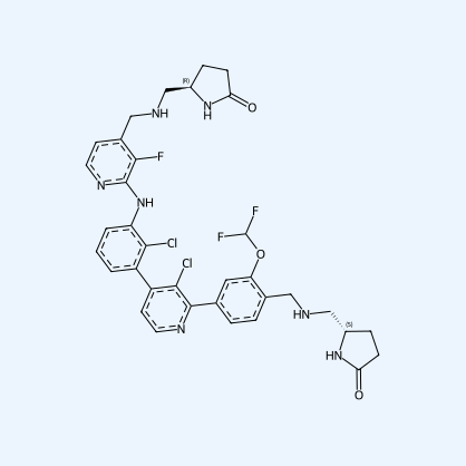 O=C1CC[C@H](CNCc2ccnc(Nc3cccc(-c4ccnc(-c5ccc(CNC[C@@H]6CCC(=O)N6)c(OC(F)F)c5)c4Cl)c3Cl)c2F)N1